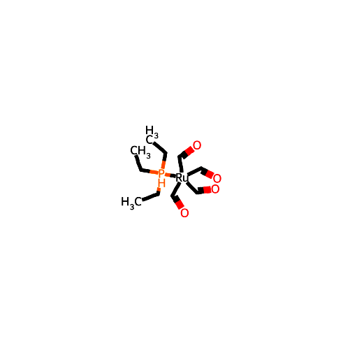 CC[PH](CC)(CC)[Ru]([CH]=O)([CH]=O)([CH]=O)[CH]=O